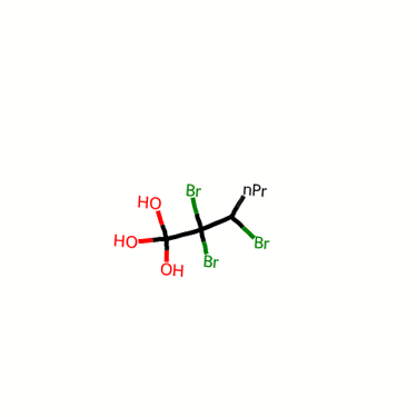 CCCC(Br)C(Br)(Br)C(O)(O)O